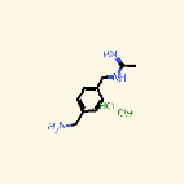 CC(=N)NCc1ccc(CN)cc1.Cl.Cl